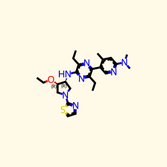 CCO[C@@H]1CN(c2nccs2)C[C@H]1Nc1nc(CC)c(-c2cnc(N(C)C)cc2C)nc1CC